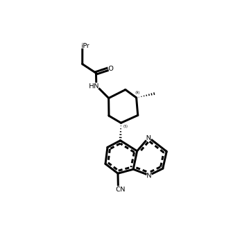 CC(C)CC(=O)NC1C[C@H](C)C[C@H](c2ccc(C#N)c3nccnc23)C1